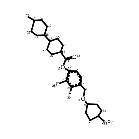 CCCC1CCC(OCc2ccc(OC(=O)C3CCC(C4CCC(C)CC4)CC3)c(F)c2F)CC1